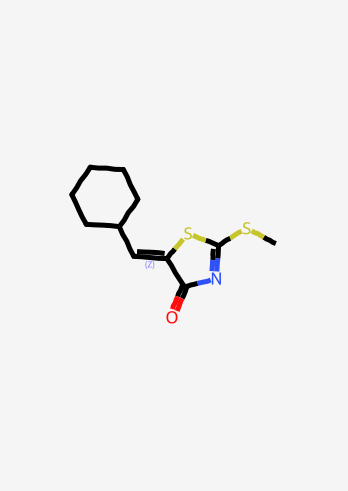 CSC1=NC(=O)/C(=C/C2CCCCC2)S1